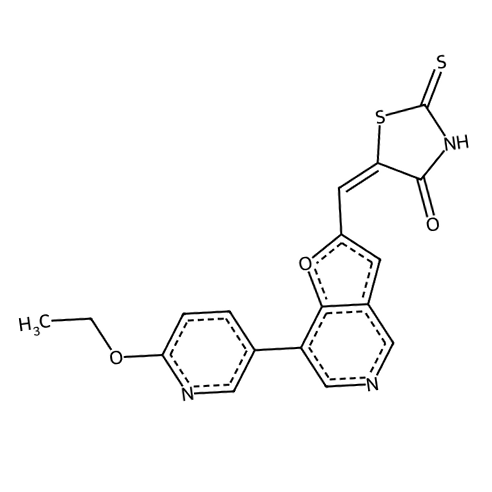 CCOc1ccc(-c2cncc3cc(/C=C4/SC(=S)NC4=O)oc23)cn1